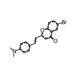 CN(C)c1ccc(/C=C/c2cc(=O)c3cc(Br)ccc3o2)cc1